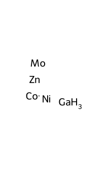 [Co].[GaH3].[Mo].[Ni].[Zn]